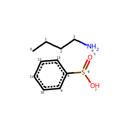 CCCCN.O=S(O)c1ccccc1